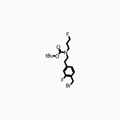 CC(C)(C)OC(=O)N(CCCF)CCc1ccc(CBr)c(F)c1